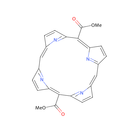 COC(=O)C1=C2C=CC(=N2)C=C2C=CC(=N2)C(C(=O)OC)=C2C=CC(=N2)C=C2C=CC1=N2